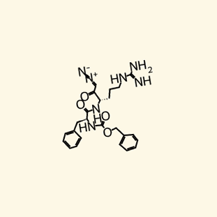 [N-]=[N+]=CC(=O)[C@H](CCCNC(=N)N)NC(=O)[C@H](Cc1ccccc1)NC(=O)OCc1ccccc1